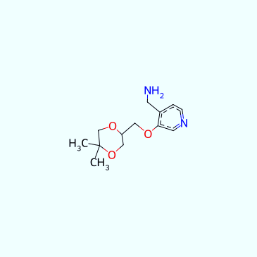 CC1(C)COC(COc2cnccc2CN)CO1